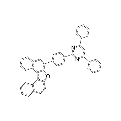 c1ccc(-c2cc(-c3ccccc3)nc(-c3ccc(-c4cc5ccccc5c5c4oc4ccc6ccccc6c45)cc3)n2)cc1